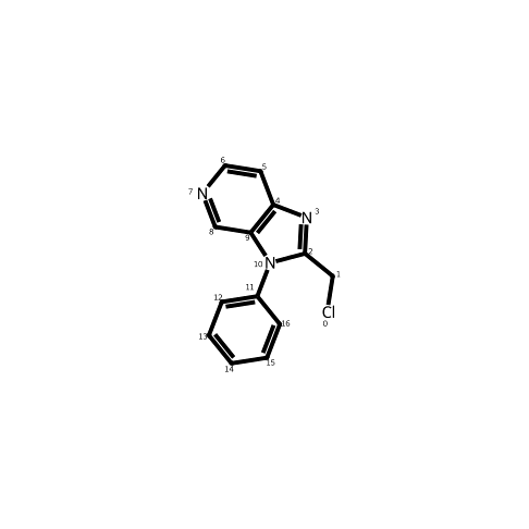 ClCc1nc2ccncc2n1-c1ccccc1